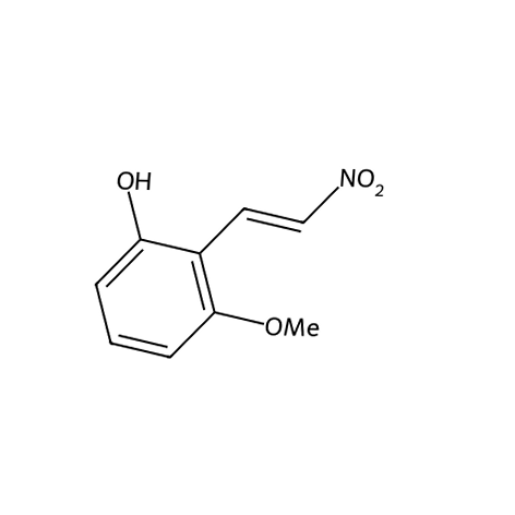 COc1cccc(O)c1C=C[N+](=O)[O-]